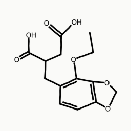 CCOc1c(CC(CC(=O)O)C(=O)O)ccc2c1OCO2